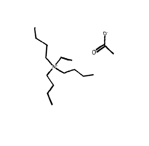 CC(=O)[O-].CCCC[N+](CC)(CCCC)CCCC